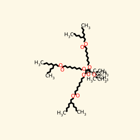 CCCCCC(CCCCC)CCOC(=O)CCCCCCCCO[C@@H]1O[C@H](CO[Si](C(C)C)(C(C)C)C(C)C)[C@@H](OCCCCCCCCC(=O)OCCC(CCCCC)CCCCC)[C@H]1OCCCCCCCCC(=O)OCCC(CCCCC)CCCCC